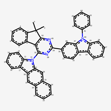 CC1(C)c2ccccc2-c2c(-n3c4ccccc4c4cc5ccccc5cc43)nc(-c3ccc4c5ccccc5n(-c5ccccc5)c4c3)nc21